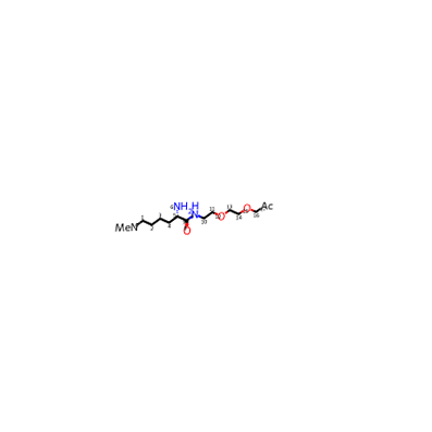 CNCCCC[C@H](N)C(=O)NCCOCCOCC(C)=O